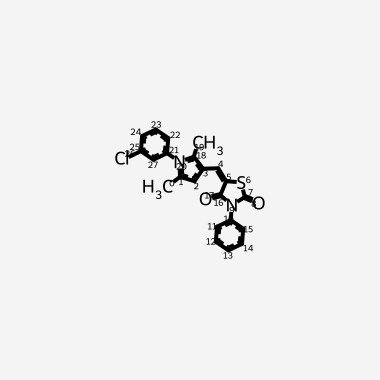 Cc1cc(/C=C2/SC(=O)N(c3ccccc3)C2=O)c(C)n1-c1cccc(Cl)c1